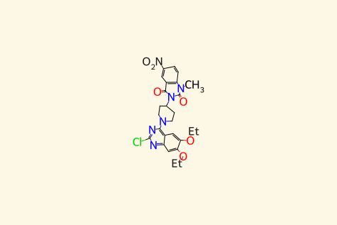 CCOc1cc2nc(Cl)nc(N3CCC(n4c(=O)c5cc([N+](=O)[O-])ccc5n(C)c4=O)CC3)c2cc1OCC